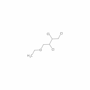 CCOCC(Cl)C(Cl)CCl